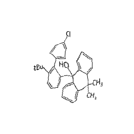 CC(C)(C)c1cccc(C2(O)c3ccccc3C(C)(C)c3ccccc32)c1-c1ccc(Cl)cc1